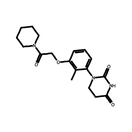 Cc1c(OCC(=O)N2CCCCC2)cccc1N1CCC(=O)NC1=O